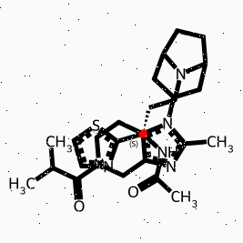 CC(=O)N[C@@H](CCN1C2CCC1CC(n1c(C)nc3c1CCN(C(=O)C(C)C)C3)C2)c1nccs1